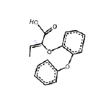 C/C=C(\Oc1ccccc1Oc1ccccc1)C(=O)O